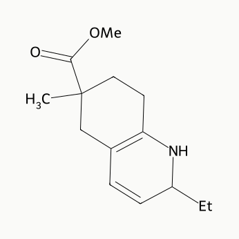 CCC1C=CC2=C(CCC(C)(C(=O)OC)C2)N1